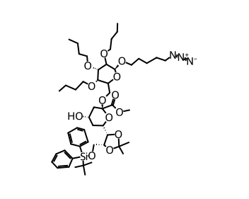 CCCCOC1[C@@H](OCCCCCN=[N+]=[N-])OC(CO[C@]2(C(=O)OC)C[C@@H](O)CC([C@@H]3OC(C)(C)O[C@@H]3CO[Si](c3ccccc3)(c3ccccc3)C(C)(C)C)O2)[C@H](OCCCC)[C@@H]1OCCCC